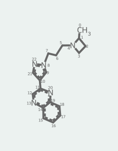 CC1CCN1CCCn1cc(-c2cnc3ccccc3n2)cn1